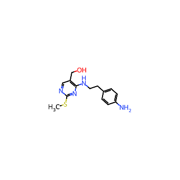 CSc1ncc(CO)c(NCCc2ccc(N)cc2)n1